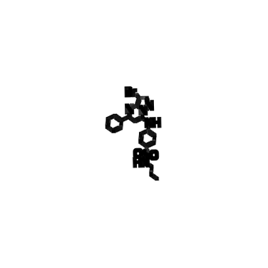 CCCNS(=O)(=O)c1ccc(Nc2cc(-c3ccccc3)nc3c(Br)cnn23)cc1